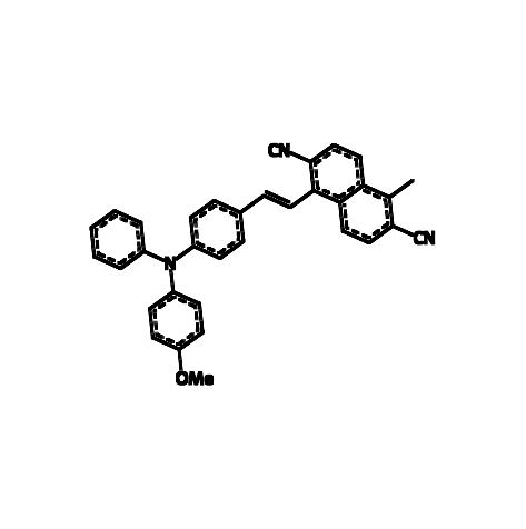 [C-]#[N+]c1ccc2c(C)c(C#N)ccc2c1C=Cc1ccc(N(c2ccccc2)c2ccc(OC)cc2)cc1